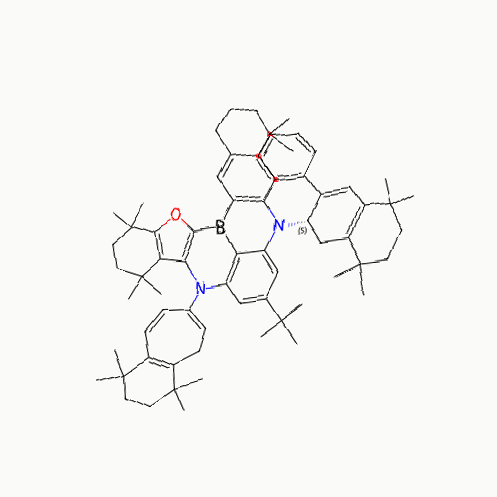 CC1(C)CCC(C)(C)C2=C1C=CC(N1c3cc(C(C)(C)C)cc4c3B(c3cc5c(cc3N4[C@H]3CC4=C(C=C3c3ccccc3)C(C)(C)CCC4(C)C)C(C)(C)CCC5)c3oc4c(c31)C(C)(C)CCC4(C)C)=CC2